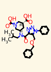 CC(C)CN(C(=O)c1nnn(-c2ccccc2)c1COCc1ccccc1)[C@H]1C[C@@H](C(=O)O)CN(C(=O)O)C1